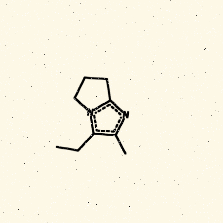 CCc1c(C)nc2n1CCC2